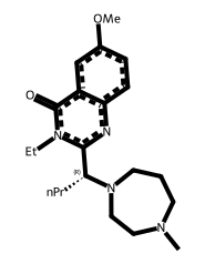 CCC[C@H](c1nc2ccc(OC)cc2c(=O)n1CC)N1CCCN(C)CC1